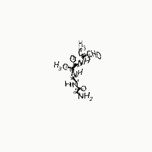 C[C@H](NCCNC(=O)CN)C(=O)N[C@@H](C)C=O